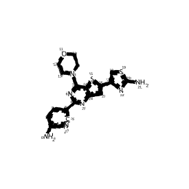 Nc1ccc(-c2nc(N3CCOCC3)c3sc(-c4csc(N)n4)cc3n2)cn1